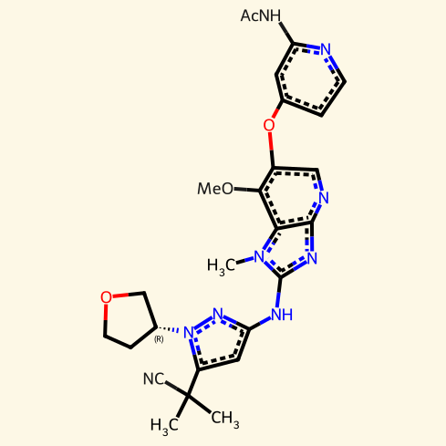 COc1c(Oc2ccnc(NC(C)=O)c2)cnc2nc(Nc3cc(C(C)(C)C#N)n([C@@H]4CCOC4)n3)n(C)c12